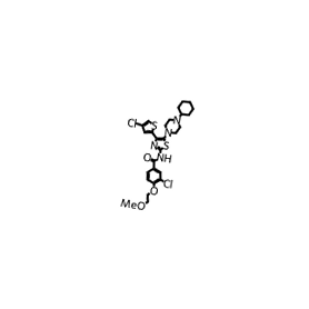 COCCOc1ccc(C(=O)Nc2nc(-c3cc(Cl)cs3)c(N3CCN(C4CCCCC4)CC3)s2)cc1Cl